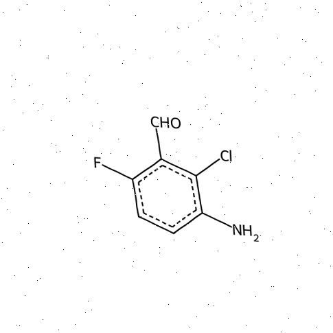 Nc1ccc(F)c(C=O)c1Cl